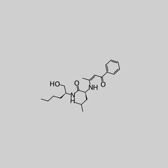 CCCC[C@@H](CO)NC(=O)[C@H](CC(C)C)NC(C)=CC(=O)c1ccccc1